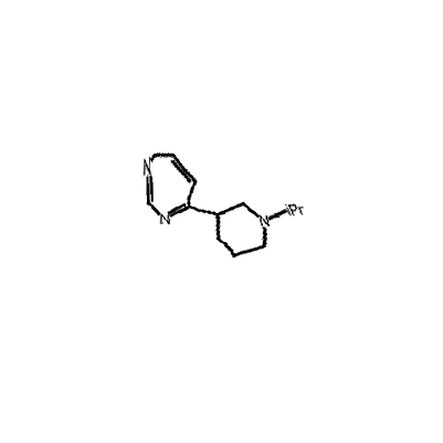 CC(C)N1CCCC(c2ccncn2)C1